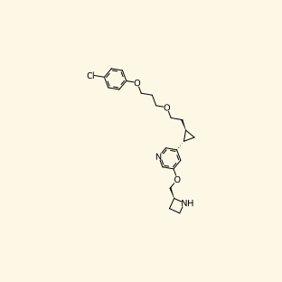 Clc1ccc(OCCCOCC[C@H]2C[C@@H]2c2cncc(OC[C@@H]3CCN3)c2)cc1